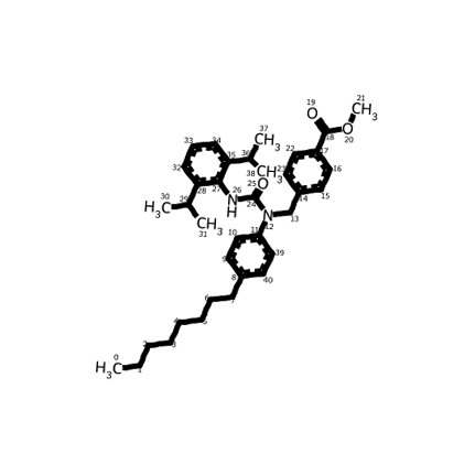 CCCCCCCCc1ccc(N(Cc2ccc(C(=O)OC)cc2)C(=O)Nc2c(C(C)C)cccc2C(C)C)cc1